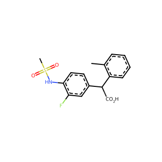 Cc1ccccc1C(C(=O)O)c1ccc(NS(C)(=O)=O)c(F)c1